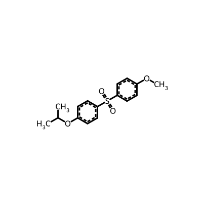 COc1ccc(S(=O)(=O)c2ccc(OC(C)C)cc2)cc1